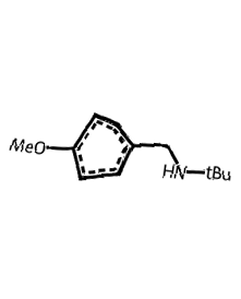 COc1ccc(CNC(C)(C)C)cc1